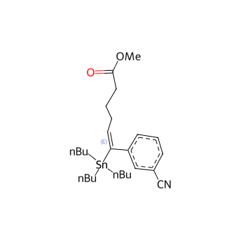 CCC[CH2][Sn]([CH2]CCC)([CH2]CCC)/[C](=C/CCCC(=O)OC)c1cccc(C#N)c1